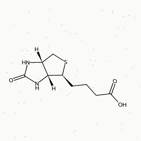 O=C(O)CCC[C@@H]1SC[C@H]2NC(=O)N[C@@H]12